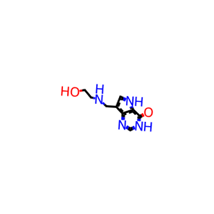 O=c1[nH]cnc2c(CNCCO)c[nH]c12